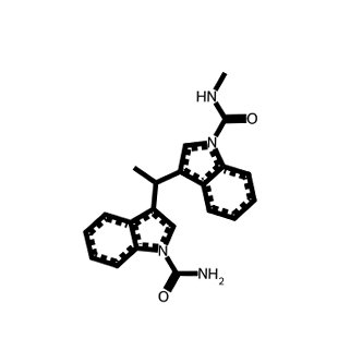 CNC(=O)n1cc([C](C)c2cn(C(N)=O)c3ccccc23)c2ccccc21